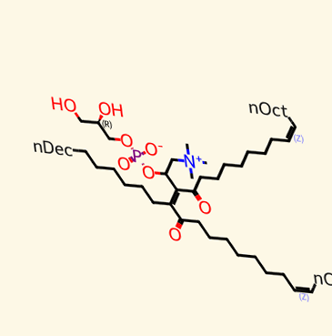 CCCCCCCC/C=C\CCCCCCCC(=O)C(CCCCCCCCCCCCCCCC)=C(C(=O)CCCCCCC/C=C\CCCCCCCC)C(C[N+](C)(C)C)OP(=O)([O-])OC[C@H](O)CO